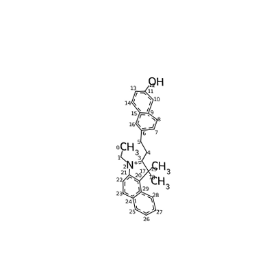 CC[N+]1=C(CCc2ccc3cc(O)ccc3c2)C(C)(C)c2c1ccc1ccccc21